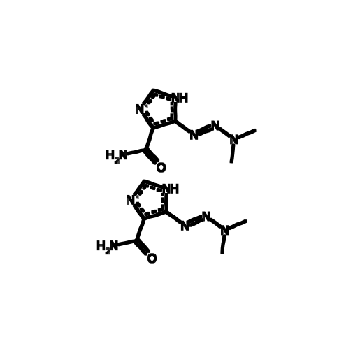 CN(C)/N=N/c1[nH]cnc1C(N)=O.CN(C)/N=N/c1[nH]cnc1C(N)=O